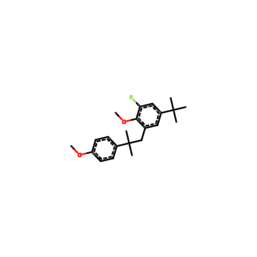 COc1ccc(C(C)(C)Cc2cc(C(C)(C)C)cc(F)c2OC)cc1